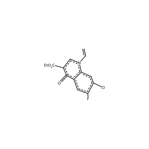 C=Cn1cc(C(=O)OCC)c(=O)c2cc(F)c(Cl)cc21